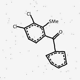 CSc1c(C(=O)c2ccccc2)ccc(Cl)c1Cl